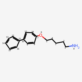 NCCCCCOc1ccc(-c2ccccc2)cc1